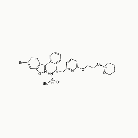 CC(C)(C)[S@+]([O-])N[C@@H](Cc1cccc(OCCO[C@H]2CCCCO2)n1)c1ccccc1-c1noc2cc(Br)ccc12